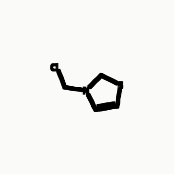 ClCN1C=CSC1